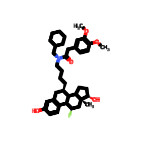 COc1ccc(CC(=O)N(CCCC[C@@H]2Cc3cc(O)ccc3C3C2C2CC[C@H](O)[C@@]2(C)C[C@@H]3F)CC2CCCCC2)cc1OC